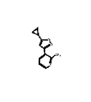 FC(F)(F)c1ncccc1-c1cc(C2CC2)on1